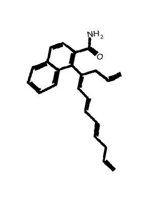 C=CCC=CC=CC=C(CC=C)c1c(C(N)=O)ccc2ccccc12